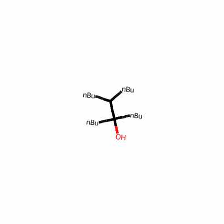 CCCCC(CCCC)C(O)(CCCC)CCCC